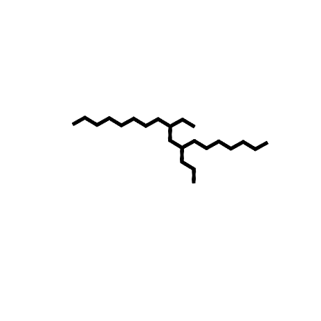 CCCCCCCCC(CC)CC(CCC)CCCCCCC